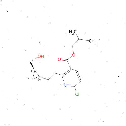 CC(C)COC(=O)c1ccc(Cl)nc1CC[C@@H]1C[C@H]1CO